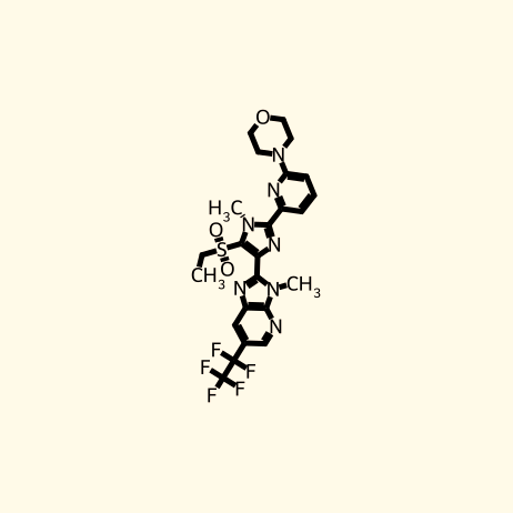 CCS(=O)(=O)c1c(-c2nc3cc(C(F)(F)C(F)(F)F)cnc3n2C)nc(-c2cccc(N3CCOCC3)n2)n1C